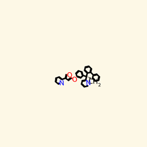 C=C[C@@](c1cccc(Oc2cc(-c3ccccn3)co2)c1)(c1ccccn1)c1ccccc1-c1ccccc1